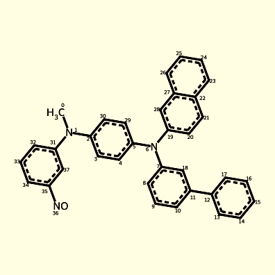 CN(c1ccc(N(c2cccc(-c3ccccc3)c2)c2ccc3ccccc3c2)cc1)c1cccc(N=O)c1